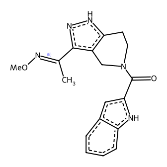 CO/N=C(\C)c1n[nH]c2c1CN(C(=O)c1cc3ccccc3[nH]1)CC2